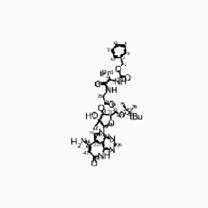 CC(C)C(NC(=O)OCc1ccccc1)C(=O)NCC(=O)OC1C(CO[Si](C)(C)C(C)(C)C)OC(n2cc3c4c(ncnc42)NC(=O)C=C3N)C1(C)O